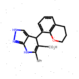 CCCC1=C(C(=O)O)C(c2cccc3c2OCCC3)c2c[nH]nc2N1